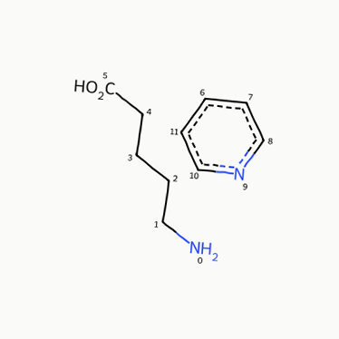 NCCCCC(=O)O.c1ccncc1